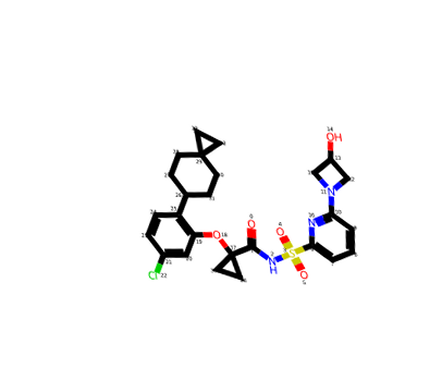 O=C(NS(=O)(=O)c1cccc(N2CC(O)C2)n1)C1(Oc2cc(Cl)ccc2C2CCC3(CC2)CC3)CC1